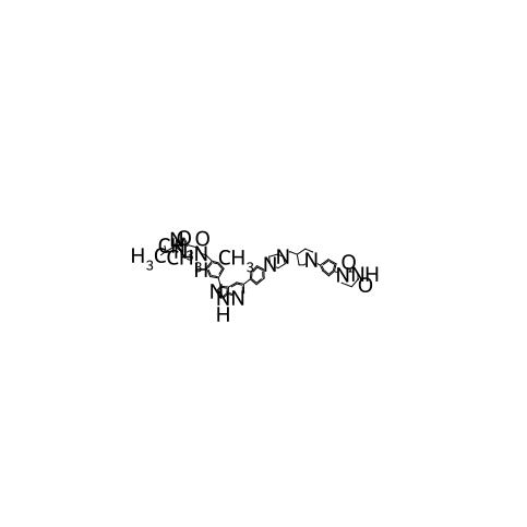 Cc1cc(-c2n[nH]c3ncc(-c4ccc(N5CCN(CC6CCN(c7ccc(N8CCC(=O)NC8=O)cc7)CC6)CC5)cc4)cc23)ccc1CNC(=O)c1nc(C(C)(C)C)no1